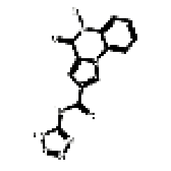 CCn1c(=O)c2cc(C(=O)Nc3nnn[nH]3)cn2c2ccccc21